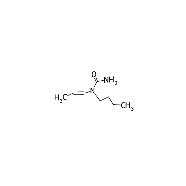 CC#CN(CCCC)C(N)=O